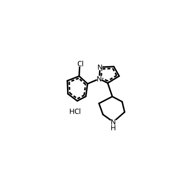 Cl.Clc1ccccc1-n1nccc1C1CCNCC1